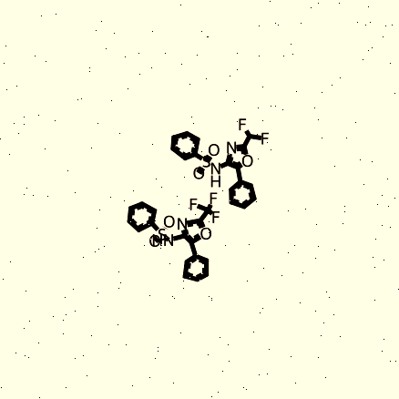 O=S(=O)(Nc1nc(C(F)(F)F)oc1-c1ccccc1)c1ccccc1.O=S(=O)(Nc1nc(C(F)F)oc1-c1ccccc1)c1ccccc1